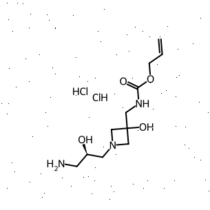 C=CCOC(=O)NCC1(O)CN(C[C@H](O)CN)C1.Cl.Cl